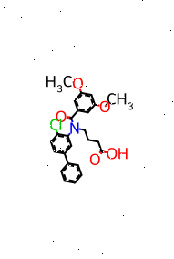 COc1cc(OC)cc(C(=O)N(CCCC(=O)O)c2cc(-c3ccccc3)ccc2Cl)c1